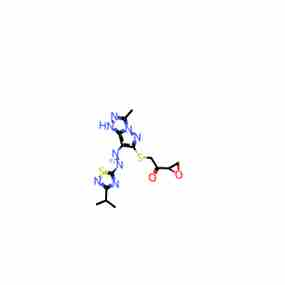 Cc1n[nH]c2c(/N=N/c3nc(C(C)C)ns3)c(SCC(=O)C3CO3)nn12